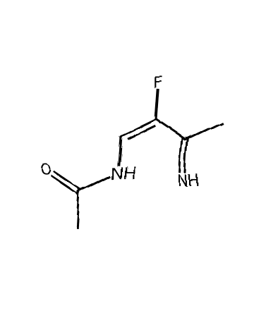 CC(=N)/C(F)=C\NC(C)=O